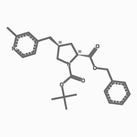 Cc1cc(C[C@H]2C[C@H](C(=O)OCc3ccccc3)N(C(=O)OC(C)(C)C)C2)ccn1